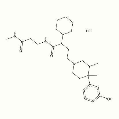 CNC(=O)CCNC(=O)C(CCN1CCC(C)(c2cccc(O)c2)C(C)C1)C1CCCCC1.Cl